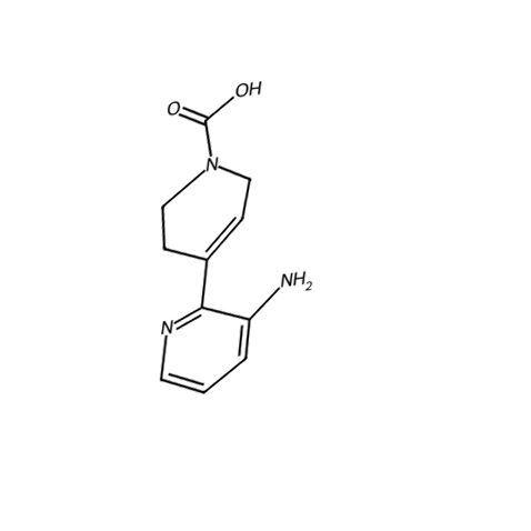 Nc1cccnc1C1=CCN(C(=O)O)CC1